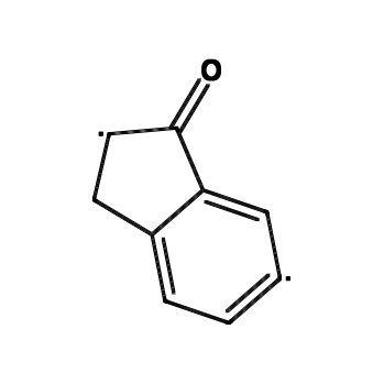 O=C1[CH]Cc2cc[c]cc21